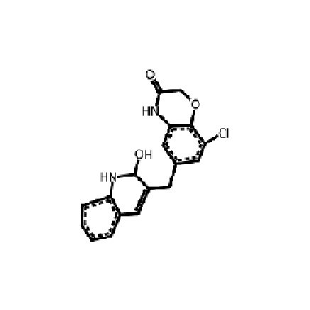 O=C1COc2c(Cl)cc(CC3=Cc4ccccc4NC3O)cc2N1